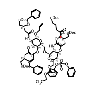 C=CCO[C@H]1O[C@H](CO[C@@H]2O[C@H](COC(=O)OCC(Cl)(Cl)Cl)[C@@H](OP(=O)(Oc3ccccc3)Oc3ccccc3)[C@H](OC(=O)C[C@@H](CCCCCCCCCCC)OC(=O)CCCCCCCCCCCCC)[C@@H]2NC(=O)OCC(Cl)(Cl)Cl)[C@@H](OCC=C)[C@H](OC(=O)C[C@@H](CCCCCCCCCCC)OCc2ccccc2)[C@@H]1NC(=O)C[C@@H](CCCCCCCCCCC)OCc1ccccc1